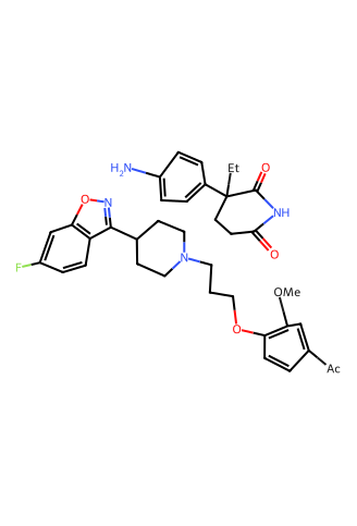 CCC1(c2ccc(N)cc2)CCC(=O)NC1=O.COc1cc(C(C)=O)ccc1OCCCN1CCC(c2noc3cc(F)ccc23)CC1